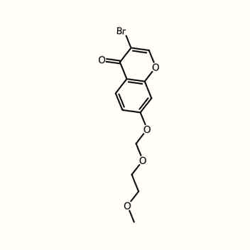 COCCOCOc1ccc2c(=O)c(Br)coc2c1